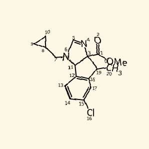 COC(=O)C12N=CN(CC3CC3)C1c1ccc(Cl)cc1C2C